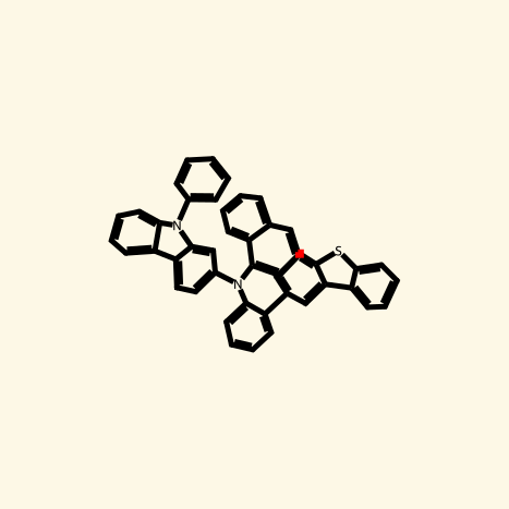 c1ccc(-n2c3ccccc3c3ccc(N(c4ccccc4-c4ccc5sc6ccccc6c5c4)c4cccc5ccccc45)cc32)cc1